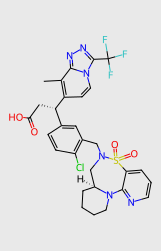 Cc1c([C@@H](CC(=O)O)c2ccc(Cl)c(CN3C[C@@H]4CCCCN4c4ncccc4S3(=O)=O)c2)ccn2c(C(F)(F)F)nnc12